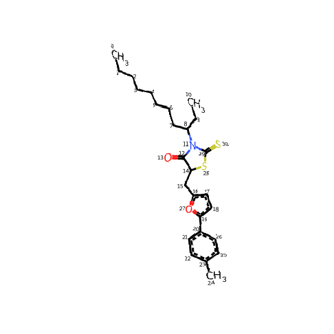 CCCCCCCCC(CC)N1C(=O)C(Cc2ccc(-c3ccc(C)cc3)o2)SC1=S